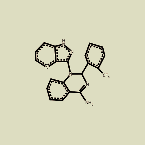 NC1=NC(c2ccccc2C(F)(F)F)N(c2n[nH]c3cccnc23)c2ccccc21